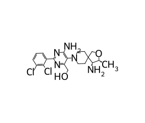 C[C@@H]1OCC2(CCN(c3c(N)nc(-c4cccc(Cl)c4Cl)nc3CO)CC2)[C@@H]1N